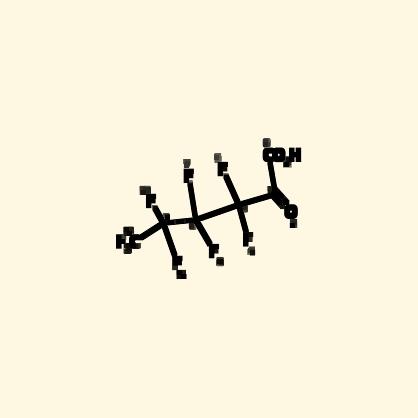 O=C(O)C(=O)C(F)(F)C(F)(F)C(F)(F)C(F)(F)F